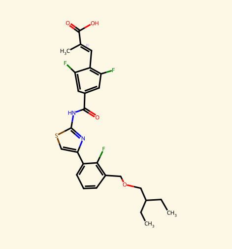 CCC(CC)COCc1cccc(-c2csc(NC(=O)c3cc(F)c(/C=C(\C)C(=O)O)c(F)c3)n2)c1F